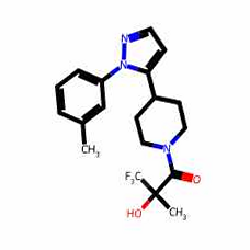 Cc1cccc(-n2nccc2C2CCN(C(=O)C(C)(O)C(F)(F)F)CC2)c1